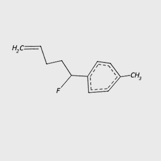 C=CCCC(F)c1ccc(C)cc1